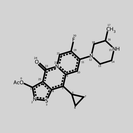 CC(=O)Oc1nsc2c(C3CC3)c3cc(N4CCNC(C)C4)c(F)cn3c(=O)c12